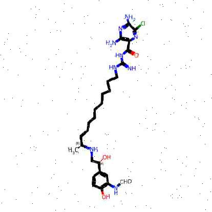 C[C@H](CCCCCCCCCCNC(=N)NC(=O)c1nc(Cl)c(N)nc1N)NC[C@H](O)c1ccc(O)c(NC=O)c1